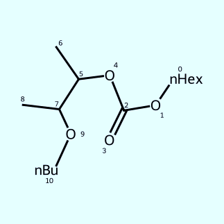 CCCCCCOC(=O)OC(C)C(C)OCCCC